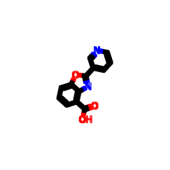 O=C(O)c1cccc2oc(-c3cccnc3)nc12